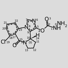 NNC(=O)Oc1ncn2c1[C@@H]1CCCN1C(=O)c1c(Cl)cccc1-2